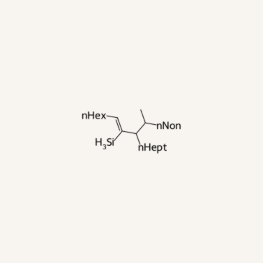 CCCCCCC=C([SiH3])C(CCCCCCC)C(C)CCCCCCCCC